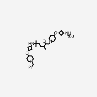 CC(C)CN1CCC(O[C@H]2C[C@H](NC(C)(C)CCC(C)C(=O)CN3CCC(O[C@H]4C[C@H](NC(C)(C)C)C4)CC3)C2)CC1